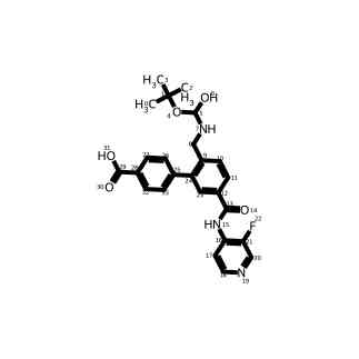 CC(C)(C)OC(O)NCc1ccc(C(=O)Nc2ccncc2F)cc1-c1ccc(C(=O)O)cc1